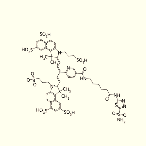 CC1(C)C(/C=C/C(=C/C=C2/N(CCCS(=O)(=O)O)c3ccc4c(S(=O)(=O)O)cc(S(=O)(=O)O)cc4c3C2(C)C)c2ccc(C(=O)NCCCCCC(=O)Nc3nnc(S(N)(=O)=O)s3)cn2)=[N+](CCCS(=O)(=O)[O-])c2ccc3c(S(=O)(=O)O)cc(S(=O)(=O)O)cc3c21